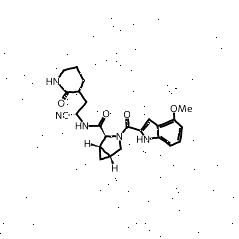 COc1cccc2[nH]c(C(=O)N3C[C@@H]4C[C@@H]4[C@H]3C(=O)N[C@H](C#N)CC3CCCNC3=O)cc12